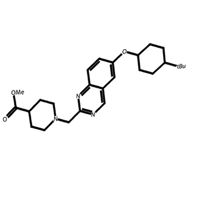 COC(=O)C1CCN(Cc2ncc3cc(OC4CCC(C(C)(C)C)CC4)ccc3n2)CC1